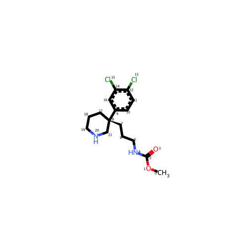 COC(=O)NCCC[C@]1(c2ccc(Cl)c(Cl)c2)CCCNC1